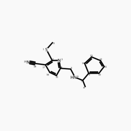 CSc1nc(CNC(C)c2ccccc2)ccc1C#N